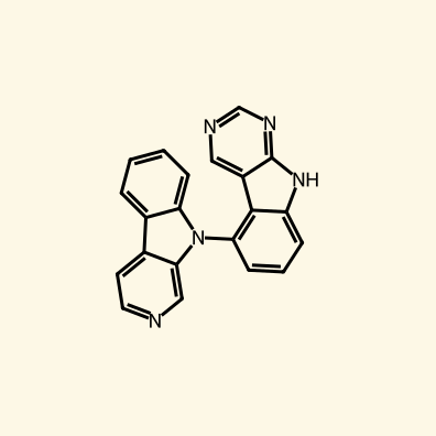 c1cc(-n2c3ccccc3c3ccncc32)c2c(c1)[nH]c1ncncc12